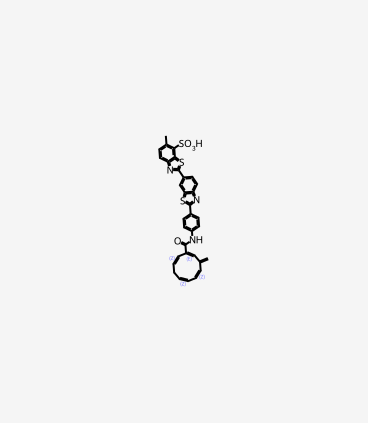 C=C1/C=C\C=C/C/C=C\C(C(=O)Nc2ccc(-c3nc4ccc(-c5nc6ccc(C)c(S(=O)(=O)O)c6s5)cc4s3)cc2)=C/1